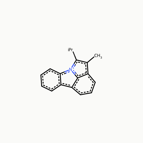 Cc1c(C(C)C)n2c3ccccc3c3cccc1c32